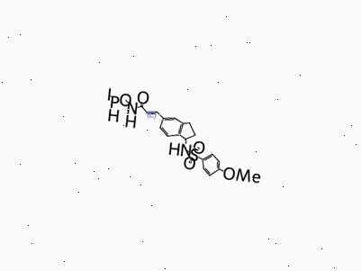 COc1ccc(S(=O)(=O)NC2CCc3cc(/C=C/C(=O)NOPI)ccc32)cc1